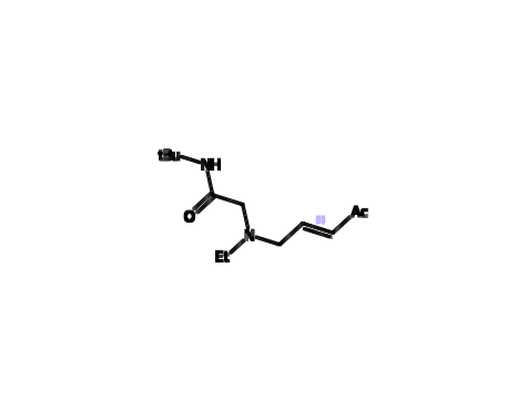 CCN(C/C=C/C(C)=O)CC(=O)NC(C)(C)C